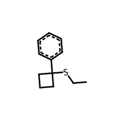 CCSC1(c2ccccc2)CCC1